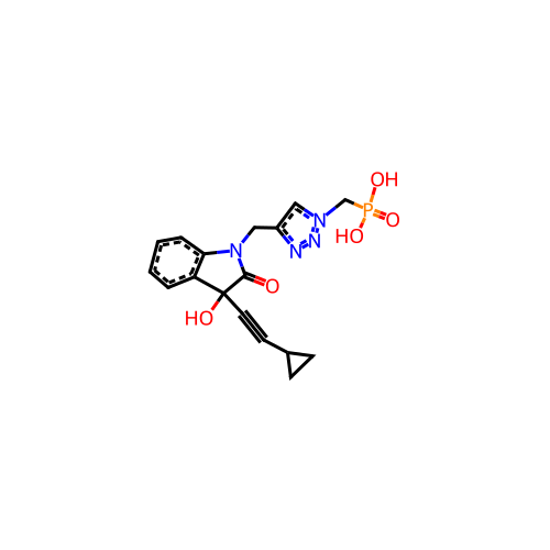 O=C1N(Cc2cn(CP(=O)(O)O)nn2)c2ccccc2C1(O)C#CC1CC1